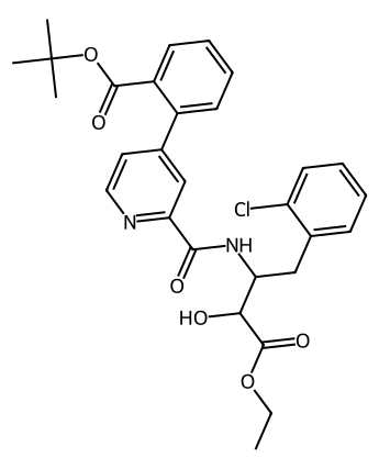 CCOC(=O)C(O)C(Cc1ccccc1Cl)NC(=O)c1cc(-c2ccccc2C(=O)OC(C)(C)C)ccn1